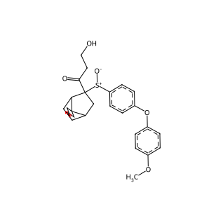 COc1ccc(Oc2ccc([S+]([O-])C3(C(=O)CCO)CC4CCC3C43CCCCCC3)cc2)cc1